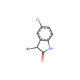 CC(C)C1C(=O)Nc2ccc(Cl)cc21